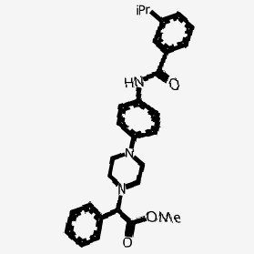 COC(=O)C(c1ccccc1)N1CCN(c2ccc(NC(=O)c3cccc(C(C)C)c3)cc2)CC1